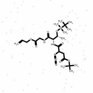 C=CCOC(=O)CNC(=O)[C@@H](NC(=O)C(CC(=O)OC(C)(C)C)N=[N+]=[N-])[C@@H](C)O[Si](C)(C)C(C)(C)C